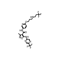 Cc1nsc(Nc2cnc(C(F)(F)F)cn2)c1C(=O)Nc1ccc(OCCCNCCC(F)(F)F)nc1